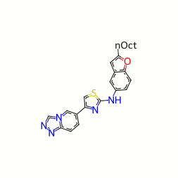 CCCCCCCCc1cc2cc(Nc3nc(-c4ccc5nncn5c4)cs3)ccc2o1